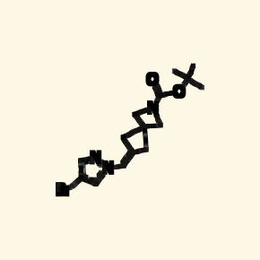 CC(C)(C)OC(=O)N1CC2(CC(=Cn3cc(Br)cn3)C2)C1